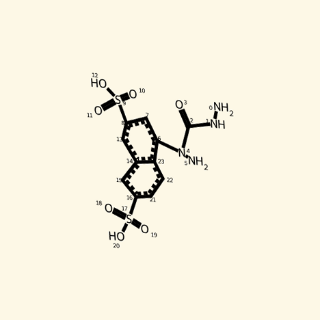 NNC(=O)N(N)c1cc(S(=O)(=O)O)cc2cc(S(=O)(=O)O)ccc12